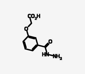 NNC(=O)c1cccc(OCC(=O)O)c1